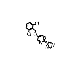 Clc1cccc(Cl)c1COc1cnc(-n2cncn2)nc1